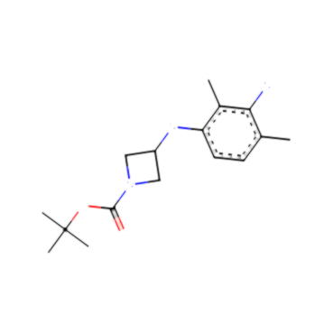 Cc1ccc(NC2CN(C(=O)OC(C)(C)C)C2)c(C)c1N